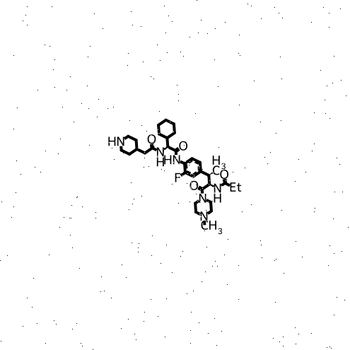 CCC(=O)N[C@@H](C(=O)N1CCN(C)CC1)[C@@H](C)c1ccc(NC(=O)[C@@H](NC(=O)CC2CCNCC2)C2CCCCC2)c(F)c1